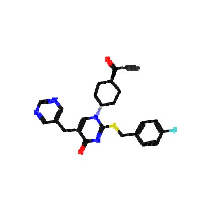 COC(=O)[C@H]1CC[C@H](n2cc(Cc3cncnc3)c(=O)nc2SCc2ccc(F)cc2)CC1